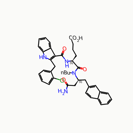 CCCCN(C(=O)[C@H](CCCC(=O)O)NC(=O)c1c(Cc2ccccc2Cl)[nH]c2ccccc12)[C@H](CC(N)=O)Cc1ccc2ccccc2c1